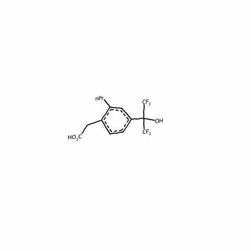 CCCc1cc(C(O)(C(F)(F)F)C(F)(F)F)ccc1CC(=O)O